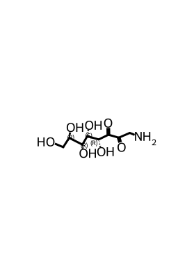 NCC(=O)C(=O)[C@H](O)[C@@H](O)[C@H](O)[C@H](O)CO